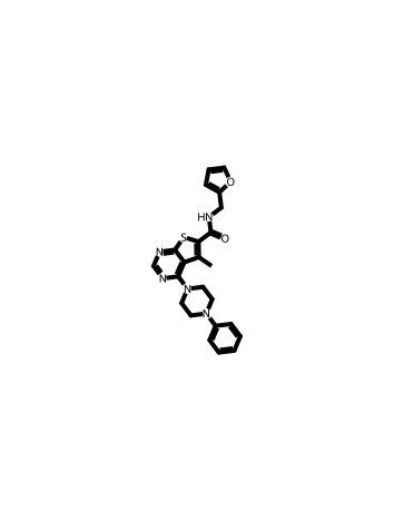 Cc1c(C(=O)NCc2ccco2)sc2ncnc(N3CCN(c4ccccc4)CC3)c12